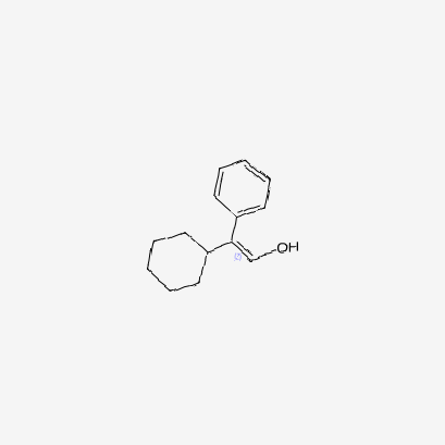 O/C=C(/[C]1CCCCC1)c1ccccc1